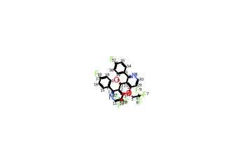 O=C(c1c(OCC(F)(F)F)ccnc1-c1ccc(F)cc1)c1c(OCC(F)(F)F)ccnc1-c1ccc(F)cc1